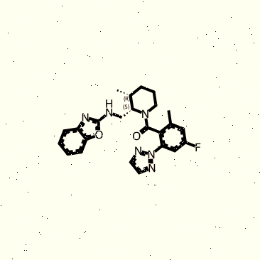 Cc1cc(F)cc(-n2nccn2)c1C(=O)N1CCC[C@@H](C)[C@H]1CNc1nc2ccccc2o1